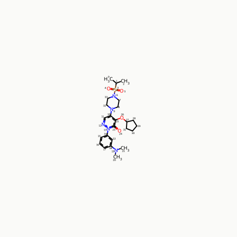 CC(C)S(=O)(=O)N1CCN(c2cnn(-c3cccc(N(C)C)c3)c(=O)c2OC2CCCC2)CC1